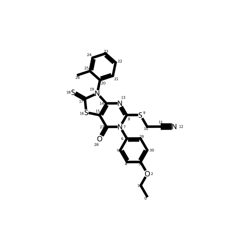 CCOc1ccc(-n2c(SCC#N)nc3c(sc(=S)n3-c3ccccc3C)c2=O)cc1